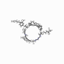 CO[C@@H]1C[C@H](C[C@@H](C)[C@@H]2CC(=O)[C@H](C)/C=C(\C)[C@@H](O)[C@@H](OC)C(=O)[C@H](C)C[C@H](C)/C=C/C=C/C=C(\C)[C@@H](OCCCC(=O)N(C)C)C[C@@H]3CC[C@@H](C)[C@@](O)(O3)C(=O)C(=O)N3CCCC[C@H]3C(=O)O2)CC[C@H]1OCCO